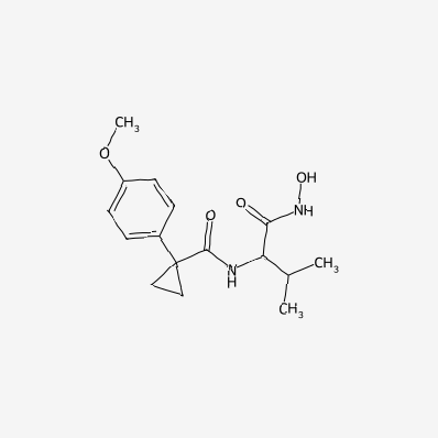 COc1ccc(C2(C(=O)NC(C(=O)NO)C(C)C)CC2)cc1